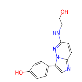 OCCNc1ccc2ncc(-c3ccc(O)cc3)n2n1